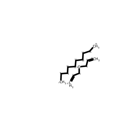 C=CCOCC=C.CCCCCCCCCC